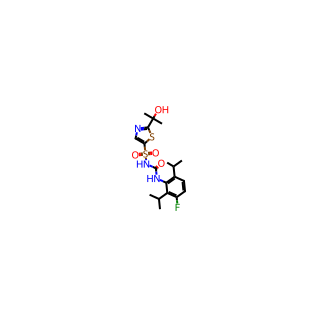 CC(C)c1ccc(F)c(C(C)C)c1NC(=O)NS(=O)(=O)c1cnc(C(C)(C)O)s1